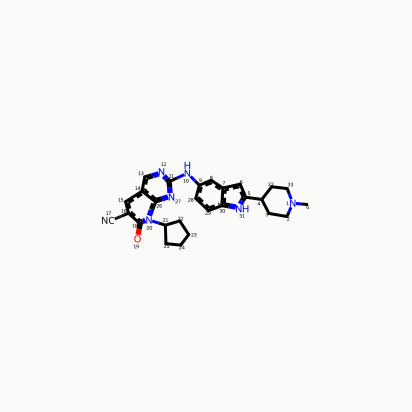 CN1CCC(c2cc3cc(Nc4ncc5cc(C#N)c(=O)n(C6CCCC6)c5n4)ccc3[nH]2)CC1